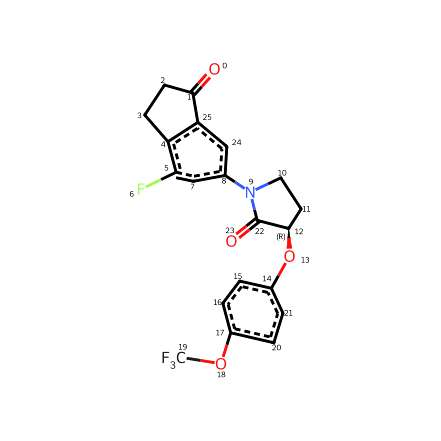 O=C1CCc2c(F)cc(N3CC[C@@H](Oc4ccc(OC(F)(F)F)cc4)C3=O)cc21